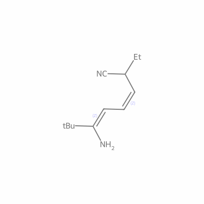 CCC(C#N)/C=C\C=C(/N)C(C)(C)C